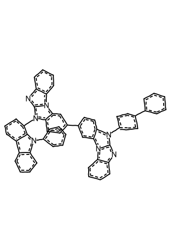 c1ccc(-c2ccc(-n3c4ccc(-c5ccc6c(c5)n5c7ccccc7nc5n6-c5cccc6c7ccccc7n(-c7ccccc7)c56)cc4n4c5ccccc5nc34)cc2)cc1